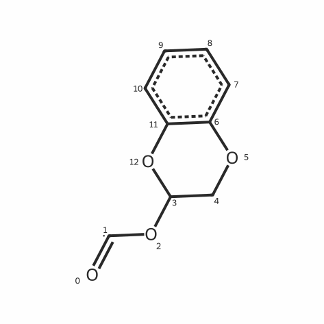 O=[C]OC1COc2ccccc2O1